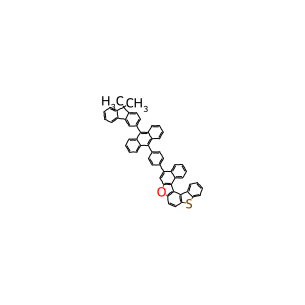 CC1(C)c2ccccc2-c2cc(-c3c4ccccc4c(-c4ccc(-c5cc6oc7ccc8sc9ccccc9c8c7c6c6ccccc56)cc4)c4ccccc34)ccc21